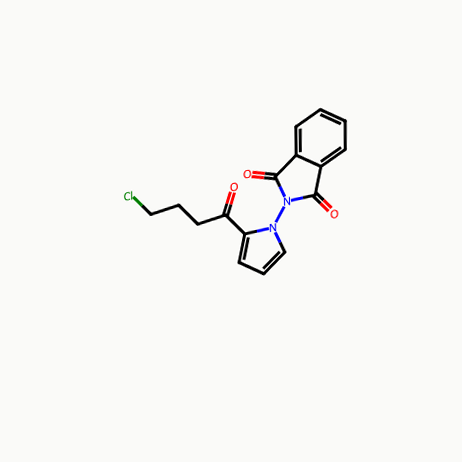 O=C(CCCCl)c1cccn1N1C(=O)c2ccccc2C1=O